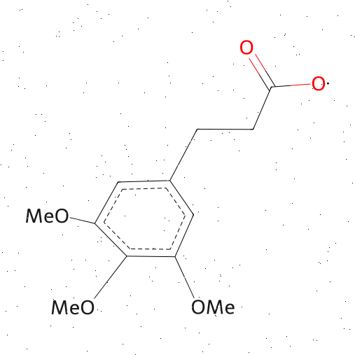 COc1cc(CCC([O])=O)cc(OC)c1OC